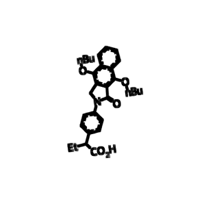 CCCCOc1c2c(c(OCCCC)c3ccccc13)C(=O)N(c1ccc(C(CC)C(=O)O)cc1)C2